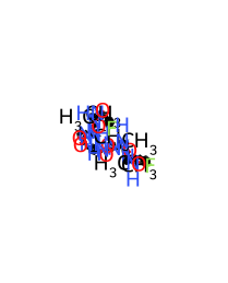 C[C@@H]1CN(CC(=O)N2CC(C)(C)c3[nH]c(=O)c(Cc4ccc(F)cc4)cc32)[C@@H](CN2CCO[C@@H](C(=O)NCc3ccc(CNC(=O)[C@H]4CN(C[C@H]5CN[C@H](C)CN5CC(=O)N5CC(C)(C)c6[nH]c(=O)c(Cc7ccc(F)cc7)cc65)CCO4)cc3)C2)CN1